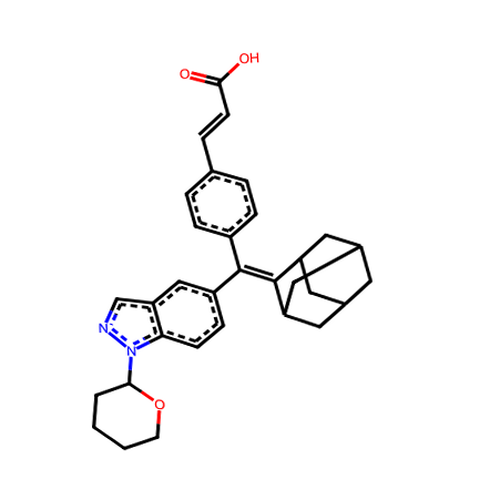 O=C(O)C=Cc1ccc(C(=C2C3CC4CC(C3)CC2C4)c2ccc3c(cnn3C3CCCCO3)c2)cc1